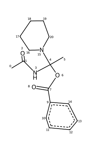 CC(=O)NC(C)(OC(=O)c1ccccc1)N1CCCCC1